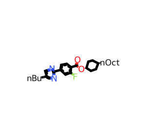 CCCCCCCC[C@H]1CC[C@H](OC(=O)c2ccc(-c3ncc(CCCC)cn3)cc2F)CC1